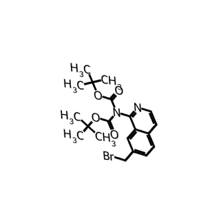 CC(C)(C)OC(=O)N(C(=O)OC(C)(C)C)c1nccc2ccc(CBr)cc12